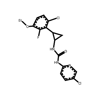 CCOc1ccc(Cl)c(C2CC2NC(=O)Nc2ccc(Cl)cn2)c1F